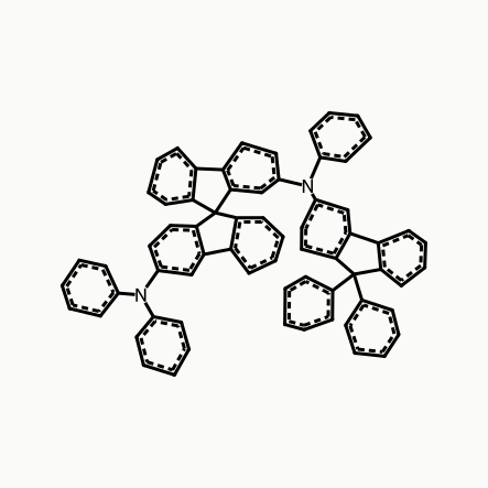 c1ccc(N(c2ccccc2)c2ccc3c(c2)-c2ccccc2C32c3ccccc3-c3ccc(N(c4ccccc4)c4ccc5c(c4)-c4ccccc4C5(c4ccccc4)c4ccccc4)cc32)cc1